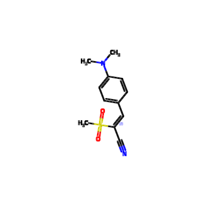 CN(C)c1ccc(/C=C(/C#N)S(C)(=O)=O)cc1